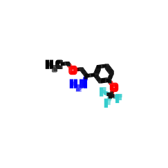 CCOC[C@H](N)c1cccc(OC(F)(F)F)c1